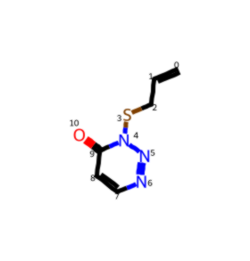 C=CCSn1nnccc1=O